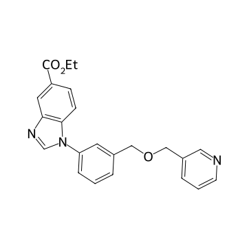 CCOC(=O)c1ccc2c(c1)ncn2-c1cccc(COCc2cccnc2)c1